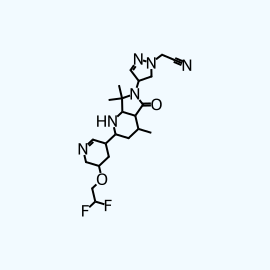 CC1CC(C2C=NCC(OCC(F)F)C2)NC2C1C(=O)N(C1C=NN(CC#N)C1)C2(C)C